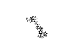 CC1=NCCN1c1cc(S(=O)(=O)OC(=O)CCCCC[N+](C)(C)C)ccc1C